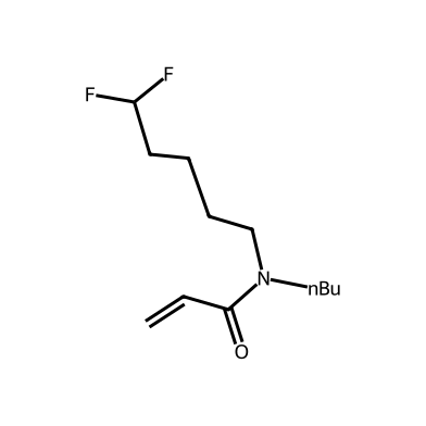 C=CC(=O)N(CCCC)CCCCC(F)F